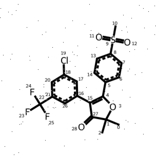 CC1(C)OC(c2ccc(S(C)(=O)=O)cc2)=C(c2cc(Cl)cc(C(F)(F)F)c2)C1=O